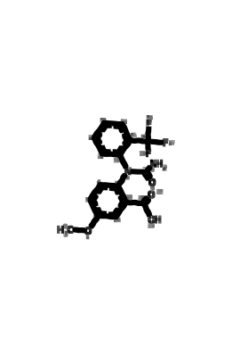 COc1ccc(N(C(N)=O)c2ccccc2C(F)(F)F)c(C(=O)O)c1